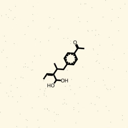 CC=C(C(O)O)C(C)Cc1ccc(C(C)=O)cc1